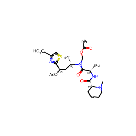 CCCC(=O)OCN(C(=O)[C@@H](NC(=O)[C@H]1CCCCN1C)C(C)CC)[C@H](C[C@@H](OC(C)=O)c1nc(C(=O)O)cs1)C(C)C